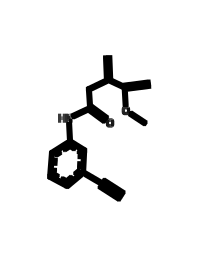 C#Cc1cccc(NC(=O)CC(=C)C(=C)OC)c1